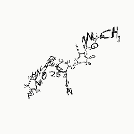 Cc1nnc(-c2ccc(Oc3ccc(S(=O)(=O)Nc4ccc(F)cn4)cc3C#N)cc2)o1